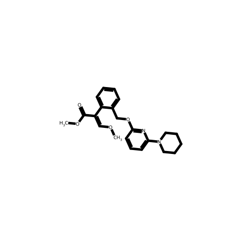 CO/C=C(/C(=O)OC)c1ccccc1COc1cccc(N2CCCCC2)n1